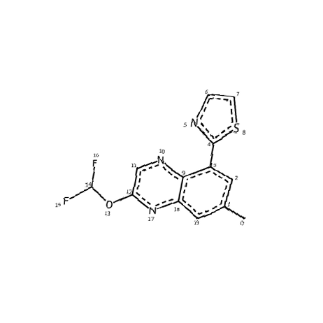 Cc1cc(-c2nccs2)c2ncc(OC(F)F)nc2c1